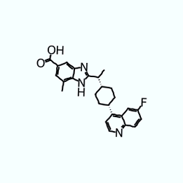 Cc1cc(C(=O)O)cc2nc(C(C)[C@H]3CC[C@@H](c4ccnc5ccc(F)cc54)CC3)[nH]c12